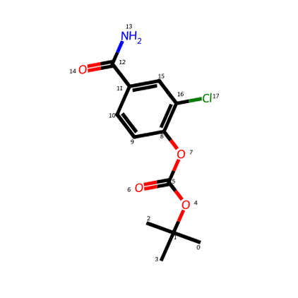 CC(C)(C)OC(=O)Oc1ccc(C(N)=O)cc1Cl